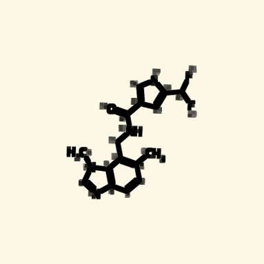 Cc1ccc2ncn(C)c2c1CNC(=O)c1csc(C(F)F)c1